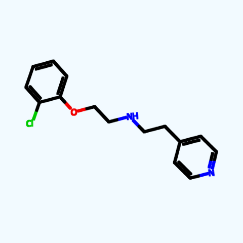 Clc1ccccc1OCCNCCc1ccncc1